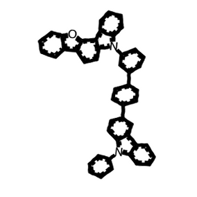 c1ccc(-n2c3ccccc3c3cc(-c4ccc(-c5cccc(-n6c7ccccc7c7c8oc9ccccc9c8ccc76)c5)cc4)ccc32)cc1